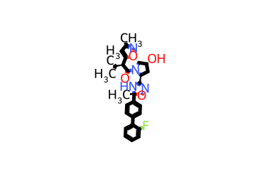 Cc1cc([C@@H](C(=O)N2C[C@H](O)C[C@H]2C2=NO[C@](C)(c3ccc(-c4ccccc4F)cc3)N2)C(C)C)on1